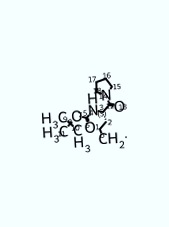 [CH2]CC[C@H](NC(=O)OC(C)(C)C)C(=O)N1CCCC1